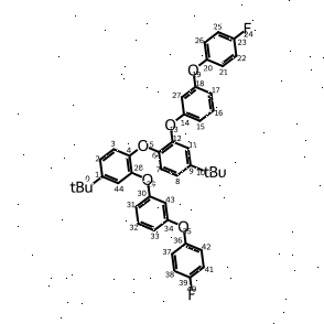 CC(C)(C)c1ccc(Oc2ccc(C(C)(C)C)cc2Oc2cccc(Oc3ccc(F)cc3)c2)c(Oc2cccc(Oc3ccc(F)cc3)c2)c1